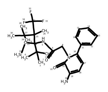 CC(C)(C)C(NC(=O)Cn1c(-c2ccccc2)ccc(N)c1=O)(O[SiH3])C(C)(C(C)(C)C)C(F)(F)F